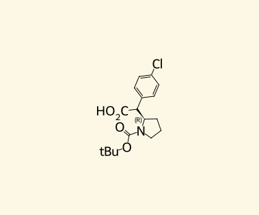 CC(C)(C)OC(=O)N1CCC[C@@H]1C(C(=O)O)c1ccc(Cl)cc1